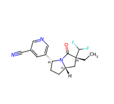 CC[C@@]1(C(F)F)C[C@@H]2CC[C@H](c3cncc(C#N)c3)N2C1=O